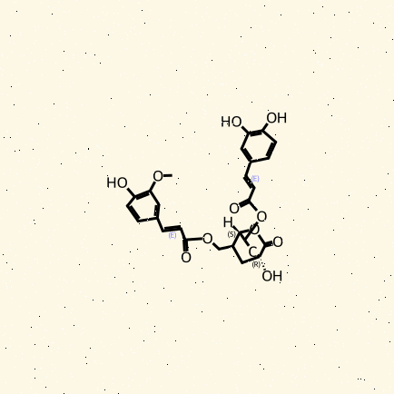 COc1cc(/C=C/C(=O)OCC2C[C@@]3(O)CC(OC(=O)/C=C/c4ccc(O)c(O)c4)[C@H]2OC3=O)ccc1O